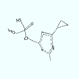 Cc1nc(OP(=O)(O)S)cc(C2CC2)n1